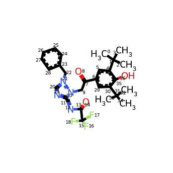 CC(C)(C)c1cc(C(=O)Cn2/c(=N\C(=O)C(F)(F)F)ncn2Cc2ccccc2)cc(C(C)(C)C)c1O